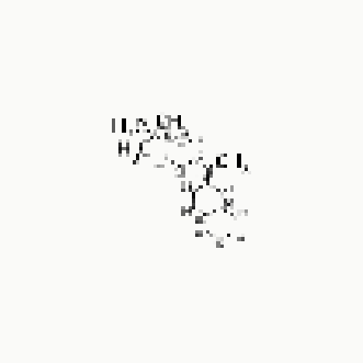 CC(C1CCC(C(C)(C)C)CC1)C1CCC2CCCCC2C1